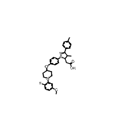 COc1ccc(F)c(N2CCC(Oc3ccc(N4N=C(c5ccc(C)cc5)C(C)C4CC(=O)O)cc3)CC2)c1